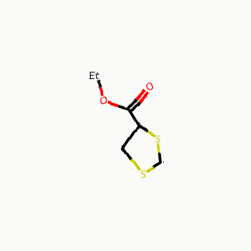 CCOC(=O)C1CS[CH]S1